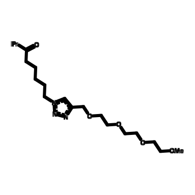 COCCOCCOCCOCc1cn(CCCCCC(=O)C(C)C)nn1